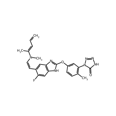 C=C/C=C(\C)N(C)/C=C\c1cc2nc(Oc3ccc(C)c(-n4nn[nH]c4=O)c3)[nH]c2cc1F